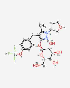 Cc1c(Cc2ccc(OC(F)(F)F)cc2)c(O[C@@H]2O[C@H](CO)[C@@H](O)[C@H](O)[C@H]2O)nn1C1CCOC1